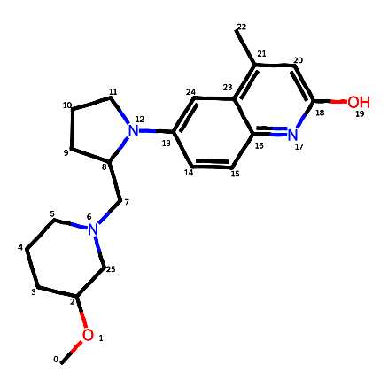 COC1CCCN(CC2CCCN2c2ccc3nc(O)cc(C)c3c2)C1